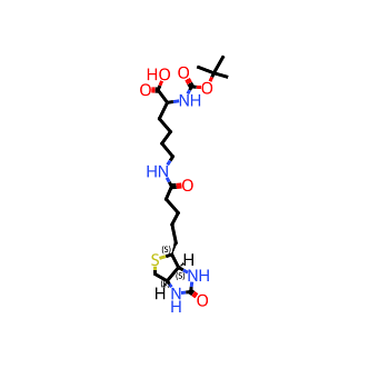 CC(C)(C)OC(=O)NC(CCCCNC(=O)CCCC[C@@H]1SC[C@@H]2NC(=O)N[C@@H]21)C(=O)O